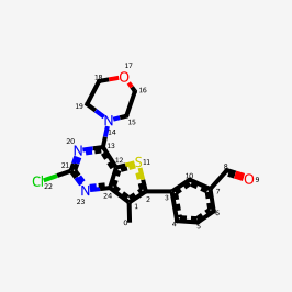 Cc1c(-c2cccc(C=O)c2)sc2c(N3CCOCC3)nc(Cl)nc12